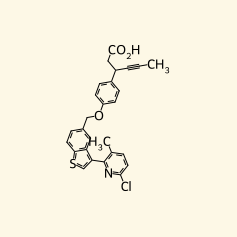 CC#CC(CC(=O)O)c1ccc(OCc2ccc3scc(-c4nc(Cl)ccc4C)c3c2)cc1